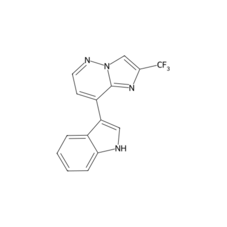 FC(F)(F)c1cn2nccc(-c3c[nH]c4ccccc34)c2n1